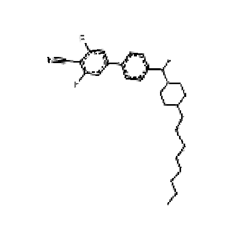 CCCCCCCCC1CCC(C(C)c2ccc(-c3cc(F)c(C#N)c(F)c3)cc2)CC1